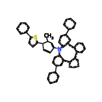 CC1C=C(n2c3ccc(-c4ccccc4)cc3c3ccccc3c3ccccc3c3cc(-c4ccccc4)ccc32)C=CC1c1ccc(-c2ccccc2)s1